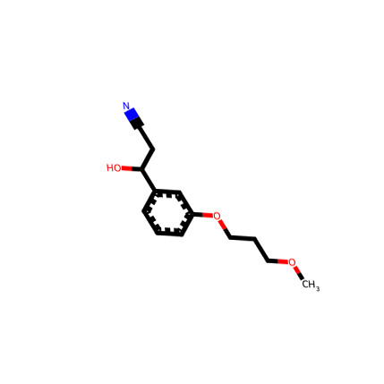 COCCCOc1cccc(C(O)CC#N)c1